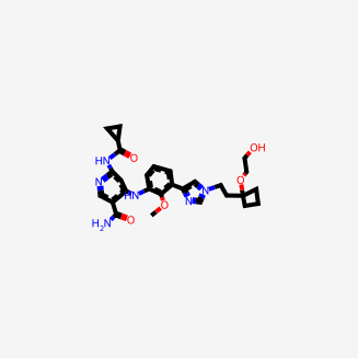 COc1c(Nc2cc(NC(=O)C3CC3)ncc2C(N)=O)cccc1-c1cn(CCC2(OCCO)CCC2)cn1